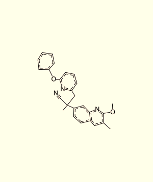 COc1nc2cc(C(C)(C#N)Cc3cccc(Oc4ccccc4)n3)ccc2cc1C